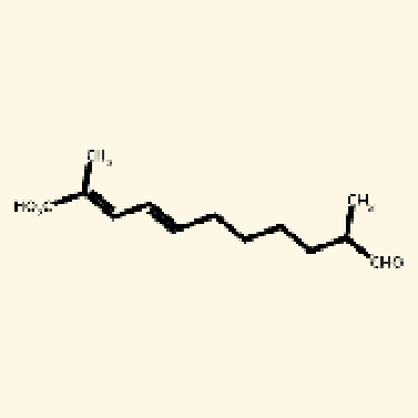 CC(=CC=CCCCCC(C)C=O)C(=O)O